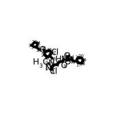 Cc1nc(Cl)c(/C=C/C(=O)NS(=O)(=O)/C=C/c2ccccc2)n1Cc1ccc(OCC2CCCC2)cc1Cl